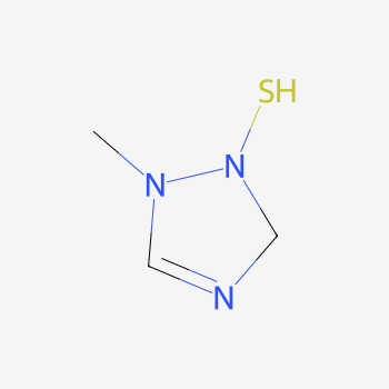 CN1C=NCN1S